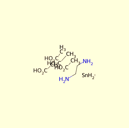 CC(=O)O.CC(=O)O.CC(=O)O.CC(=O)O.NCCN.[SnH2]